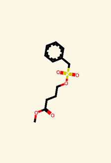 COC(=O)CCCOS(=O)(=O)Cc1ccccc1